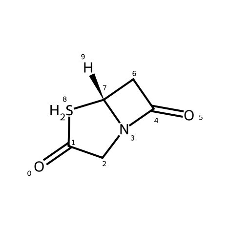 O=C1CN2C(=O)C[C@H]2[SH2]1